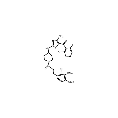 COc1ccc(C=CC(=O)N2CCC(Nc3nc(N)c(C(=O)c4c(F)cccc4F)s3)CC2)c(Cl)c1OC